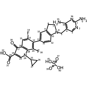 Nc1ncc(CN2CCc3cc(-c4c(F)cc5c(=O)c(C(=O)O)cn(C6CC6)c5c4F)ccc32)c(N)n1.O=S(=O)(O)O